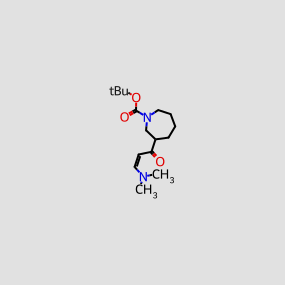 CN(C)/C=C\C(=O)C1CCCCN(C(=O)OC(C)(C)C)C1